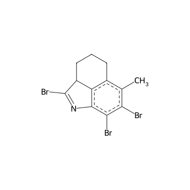 Cc1c(Br)c(Br)c2c3c1CCCC3C(Br)=N2